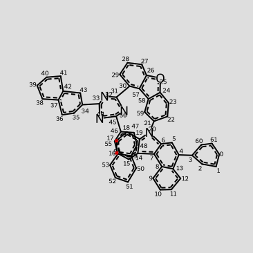 c1ccc(-c2cc3c(c4ccccc24)c2ccccc2n3-c2ccc3oc4cccc(-c5nc(-c6ccc7ccccc7c6)nc(-c6ccc7ccccc7c6)n5)c4c3c2)cc1